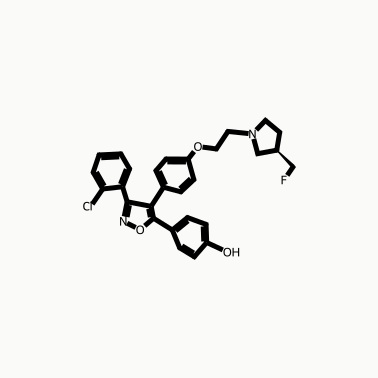 Oc1ccc(-c2onc(-c3ccccc3Cl)c2-c2ccc(OCCN3CC[C@@H](CF)C3)cc2)cc1